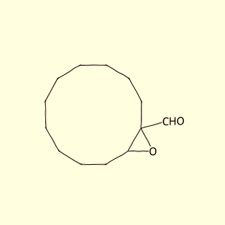 O=CC12CCCCCCCCCCC1O2